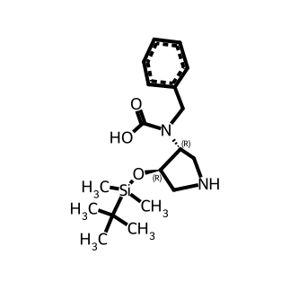 CC(C)(C)[Si](C)(C)O[C@@H]1CNC[C@H]1N(Cc1ccccc1)C(=O)O